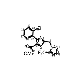 COC(=O)c1cc(Cn2nnnc2C(F)(F)F)nn1-c1ncccc1Cl